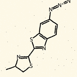 CC1CSC(c2nc3ccc(N=[N+]=[N-])cc3s2)=N1